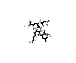 CNCC(=O)NC(CCC(N)=O)C(=O)NC(CCCCN)C(=O)NC(CC(C)C)C(N)=O